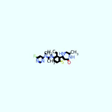 C=Cc1c(/N=C(\C)N(C)c2cc(F)ncn2)ccc2sc3c(c12)NC[C@@H](C)NC3=O